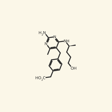 Cc1nc(N)nc(N[C@@H](C)CCCO)c1Cc1ccc(CC(=O)O)cc1